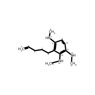 C=CCCCc1c(NC)ccc(NC)c1NC